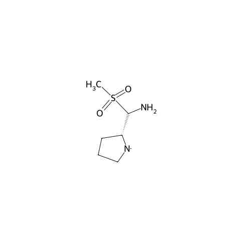 CS(=O)(=O)C(N)[C@H]1CCC[N]1